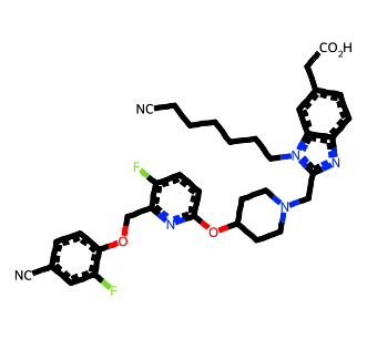 N#CCCCCCCn1c(CN2CCC(Oc3ccc(F)c(COc4ccc(C#N)cc4F)n3)CC2)nc2ccc(CC(=O)O)cc21